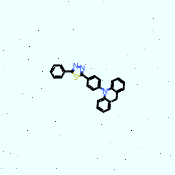 c1ccc(-c2nnc(-c3ccc(N4c5ccccc5Cc5ccccc54)cc3)s2)cc1